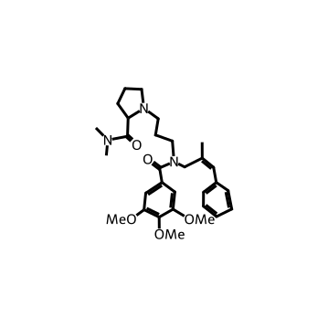 COc1cc(C(=O)N(CCCN2CCCC2C(=O)N(C)C)C/C(C)=C\c2ccccc2)cc(OC)c1OC